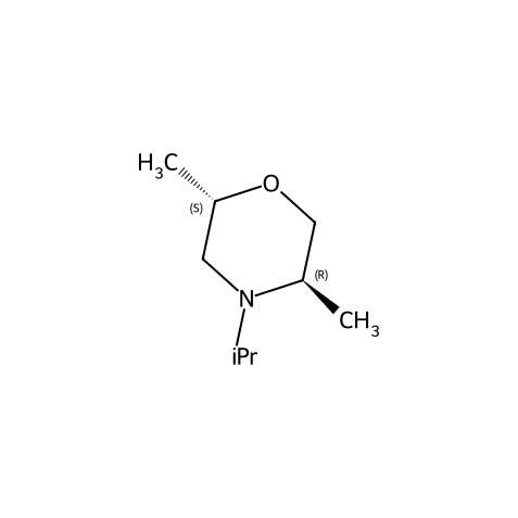 CC(C)N1C[C@H](C)OC[C@H]1C